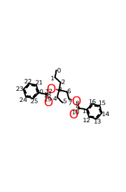 CCCC(CC)(CCOC(=O)c1ccccc1)OC(=O)c1ccccc1